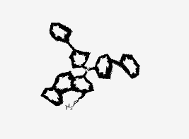 Pc1ccc(N(c2ccc(-c3ccccc3)cc2)c2ccc(-c3ccccc3)cc2)c2ccc3ccccc3c12